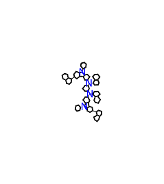 c1ccc(-n2c3ccc(-c4cccc5ccccc45)cc3c3cc(N(c4cccc(N(c5ccc6c(c5)c5cc(-c7cccc8ccccc78)ccc5n6-c5ccccc5)c5cccc6ccccc56)c4)c4cccc5ccccc45)ccc32)cc1